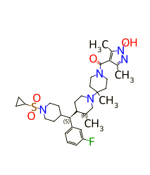 Cc1nn(O)c(C)c1C(=O)N1CCC(C)(N2CCC([C@@H](c3cccc(F)c3)C3CCN(S(=O)(=O)C4CC4)CC3)[C@@H](C)C2)CC1